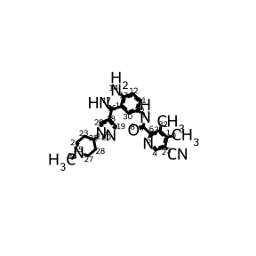 Cc1c(C#N)cnc(C(=O)Nc2ccc(N)c(C(=N)c3cnn(C4CCN(C)CC4)c3)c2)c1C